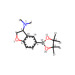 CN(C)C1COc2ccc(B3OC(C)(C)C(C)(C)O3)cc21